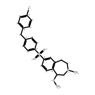 COC1CN(C)CCc2cc(S(=O)(=O)c3ccc(Cc4ccc(F)cc4)cc3)ccc21